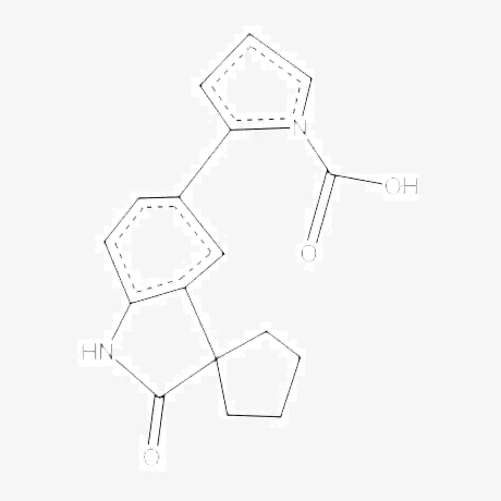 O=C(O)n1cccc1-c1ccc2c(c1)C1(CCCC1)C(=O)N2